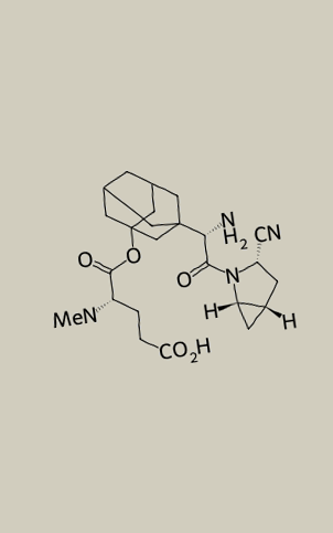 CN[C@@H](CCC(=O)O)C(=O)OC12CC3CC(C1)CC([C@H](N)C(=O)N1[C@H](C#N)C[C@@H]4C[C@@H]41)(C3)C2